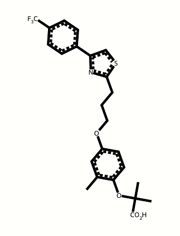 Cc1cc(OCCCc2nc(-c3ccc(C(F)(F)F)cc3)cs2)ccc1OC(C)(C)C(=O)O